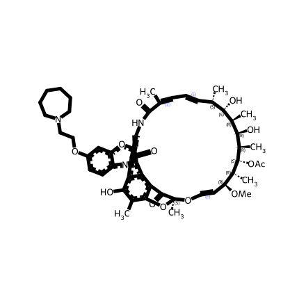 CO[C@H]1/C=C/O[C@@]2(C)Oc3c(C)c(O)c4c(=O)c(c5oc6cc(OCCN7CCCCCC7)ccc6nc-5c4c3C2=O)NC(=O)/C(C)=C\C=C\[C@H](C)[C@H](O)[C@@H](C)[C@@H](O)[C@@H](C)[C@H](OC(C)=O)[C@@H]1C